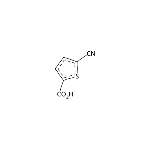 N#Cc1ccc(C(=O)O)s1